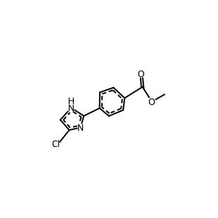 COC(=O)c1ccc(-c2nc(Cl)c[nH]2)cc1